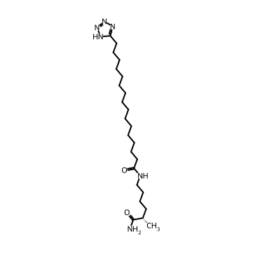 C[C@@H](CCCCNC(=O)CCCCCCCCCCCCCCCc1nnn[nH]1)C(N)=O